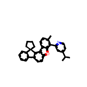 Cc1ccc2c(oc3ccc4c(c32)C2(CCCC2)c2ccccc2-4)c1-c1cc(C(C)C)ccn1